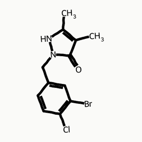 Cc1[nH]n(Cc2ccc(Cl)c(Br)c2)c(=O)c1C